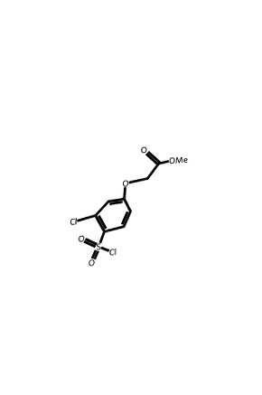 COC(=O)COc1ccc(S(=O)(=O)Cl)c(Cl)c1